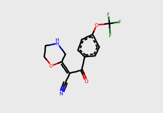 N#CC(C(=O)c1ccc(OC(F)(F)F)cc1)=C1CNCCO1